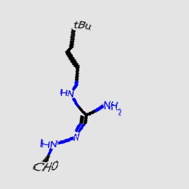 CC(C)(C)CCN/C(N)=N\NC=O